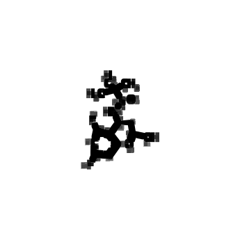 CC(C)(C)[S@@+]([O-])N[C@@H](CC(=O)O)c1ccc(F)cc1F